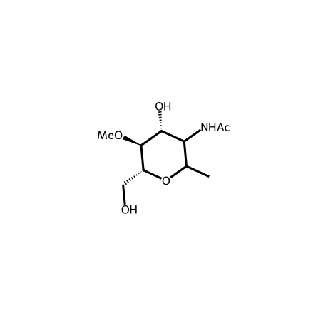 CO[C@H]1[C@H](O)C(NC(C)=O)C(C)O[C@@H]1CO